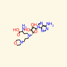 Nc1ncnc2c1ncn2[C@@H]1O[C@H](CN(CCCN2CCOCC2)CCC(N)C(=O)O)[C@@H](O)[C@H]1O